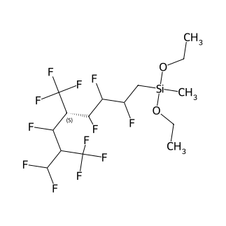 CCO[Si](C)(CC(F)C(F)C(F)[C@H](C(F)C(C(F)F)C(F)(F)F)C(F)(F)F)OCC